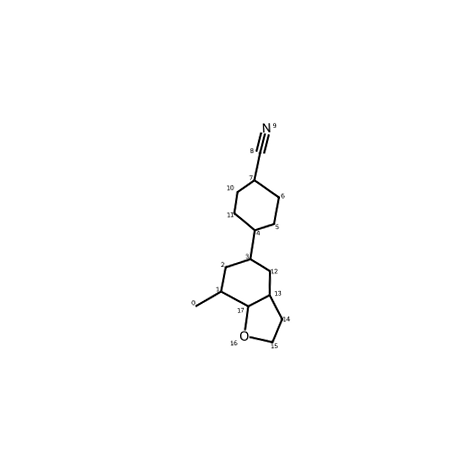 CC1CC(C2CCC(C#N)CC2)CC2CCOC12